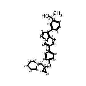 C[C@@H](O)c1cccc(-c2cnn3cc(-c4ccc(OC5(CN6CCCCC6)CC5)cc4)cnc23)c1